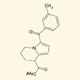 COC(=O)C1CCCn2c(C(=O)c3cccc(C)c3)ccc21